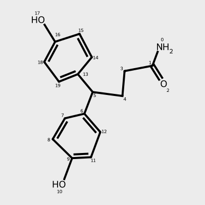 NC(=O)CCC(c1ccc(O)cc1)c1ccc(O)cc1